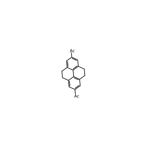 CC(=O)c1cc2c3c(c1)CCc1cc(C(C)=O)cc(c1-3)CC2